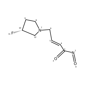 O=NC(=O)/C=C/CN1CC[C@@H](F)C1